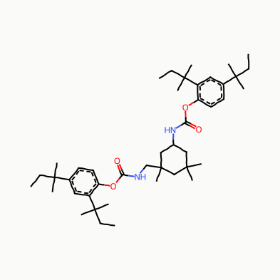 CCC(C)(C)c1ccc(OC(=O)NCC2(C)CC(NC(=O)Oc3ccc(C(C)(C)CC)cc3C(C)(C)CC)CC(C)(C)C2)c(C(C)(C)CC)c1